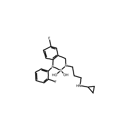 OS1(O)N(CCCNC2CC2)Cc2cc(F)ccc2N1c1ccccc1F